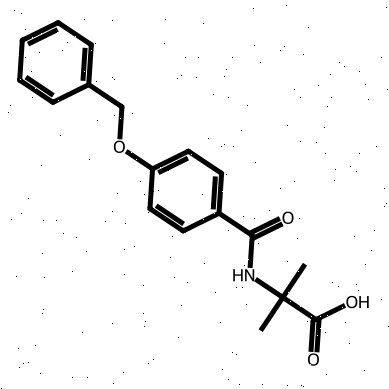 CC(C)(NC(=O)c1ccc(OCc2ccccc2)cc1)C(=O)O